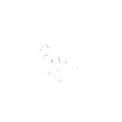 COC(=O)c1cc(-c2nc(Cl)ncc2Cl)cn1CC(C)N